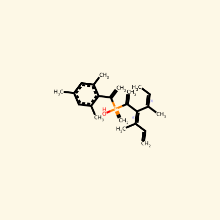 C=C/C(C)=C(C(=C)P(=C)(O)C(=C)c1c(C)cc(C)cc1C)\C(C)=C/C